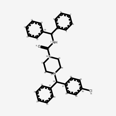 O=C(NC(c1ccccc1)c1ccccc1)N1CCN(C(c2ccccc2)c2ccc(Cl)cc2)CC1